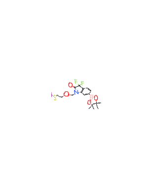 CC1(C)OB(c2ccc3c(c2)N(COCCSI)C(=O)C3(F)F)OC1(C)C